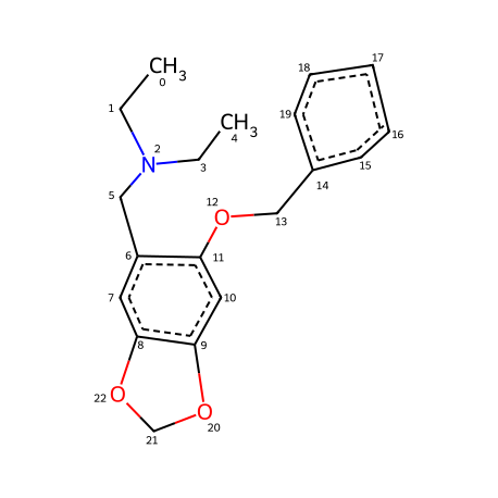 CCN(CC)Cc1cc2c(cc1OCc1ccccc1)OCO2